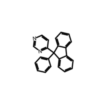 c1ccc(C2(c3ccncn3)c3ccccc3-c3ccccc32)cc1